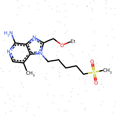 CCOCc1nc2c(N)ncc(C)c2n1CCCCCS(C)(=O)=O